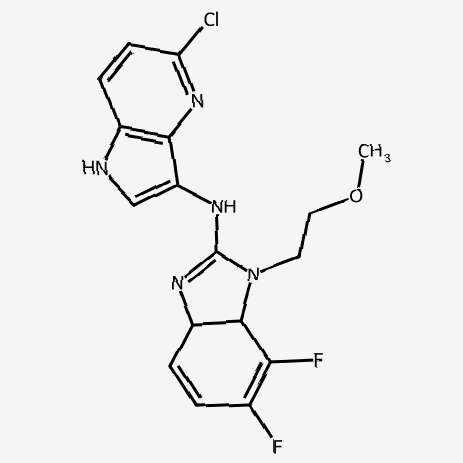 COCCN1C(Nc2c[nH]c3ccc(Cl)nc23)=NC2C=CC(F)=C(F)C21